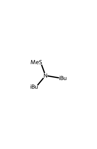 CCC(C)N(SC)C(C)CC